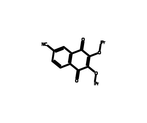 CC(C)OC1=C(OC(C)C)C(=O)c2cc(C#N)ccc2C1=O